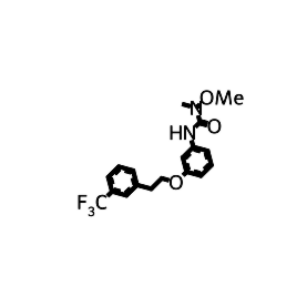 CON(C)C(=O)Nc1cccc(OCCc2cccc(C(F)(F)F)c2)c1